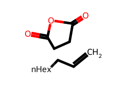 C=CCCCCCCC.O=C1CCC(=O)O1